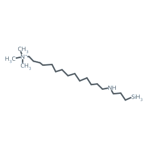 C[N+](C)(C)CCCCCCCCCCCCCCNCCC[SiH3]